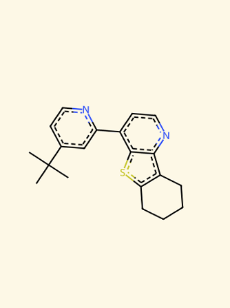 CC(C)(C)c1ccnc(-c2ccnc3c4c(sc23)CCCC4)c1